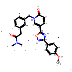 CN(C)C(=O)Cc1cccc(Cn2cc(-c3nc(-c4ccc(OC(F)(F)F)cc4)no3)ccc2=O)c1